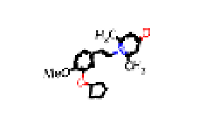 COc1ccc(C=Cn2c(C)cc(=O)cc2C)cc1OC1CCCC1